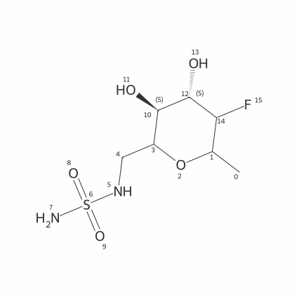 CC1OC(CNS(N)(=O)=O)[C@@H](O)[C@H](O)C1F